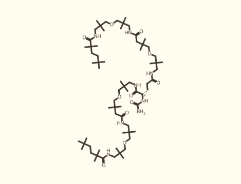 BC(=O)N[C@@H](CCC(=O)NCC(C)(C)COCC(C)(C)CC(=O)NCC(C)(C)COCC(C)(C)CNC(=O)C(C)(C)CCC(C)(C)C)C(=O)NCC(C)(C)COCC(C)(C)CC(=O)NCC(C)(C)COCC(C)(C)CNC(=O)C(C)(C)CCC(C)(C)C